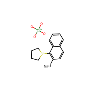 COc1ccc2ccccc2c1[S+]1CCCC1.[O-][Cl+3]([O-])([O-])[O-]